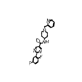 O=C(NC1CCN(Cc2ccccn2)CC1)c1cnc(-c2cc(F)ccc2F)nc1